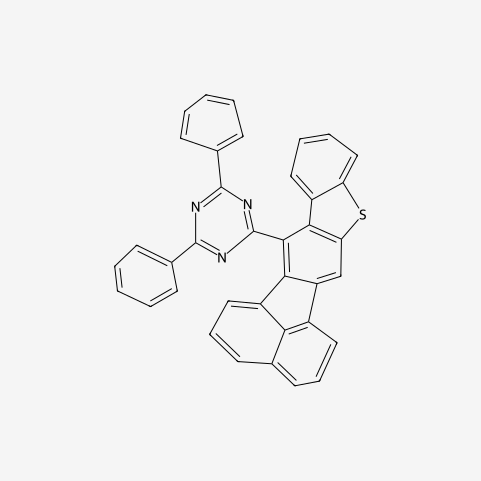 c1ccc(-c2nc(-c3ccccc3)nc(-c3c4c(cc5sc6ccccc6c35)-c3cccc5cccc-4c35)n2)cc1